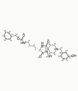 CCCN1C(=O)[C@H](CCCCNC(=O)OCc2ccccc2)NC(=O)C12CCN(Cc1cccc(O)c1)CC2